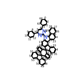 c1ccc(-c2cc(-c3ccccc3)nc(-n3c4ccc5c(c4c4ccc6ccccc6c43)-c3ccccc3C53c4ccccc4C4(c5ccccc5-c5ccccc54)c4ccccc43)n2)cc1